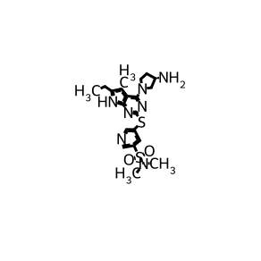 CCc1[nH]c2nc(Sc3cncc(S(=O)(=O)N(C)C)c3)nc(N3CC[C@@H](N)C3)c2c1C